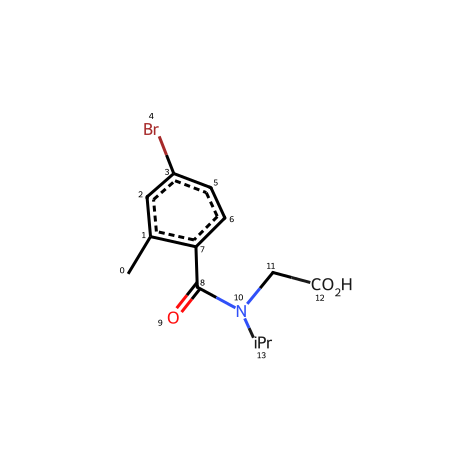 Cc1cc(Br)ccc1C(=O)N(CC(=O)O)C(C)C